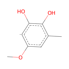 COc1[c]c(O)c(O)c(C)c1